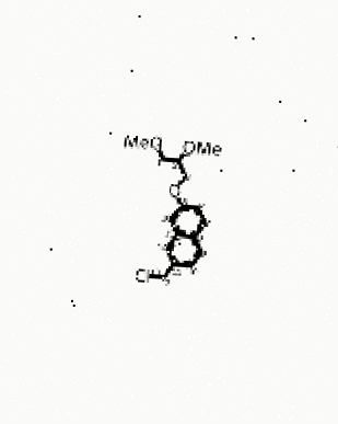 COCC(COc1ccc2ccc(CCl)cc2c1)OC